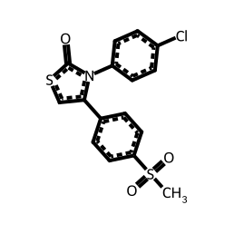 CS(=O)(=O)c1ccc(-c2csc(=O)n2-c2ccc(Cl)cc2)cc1